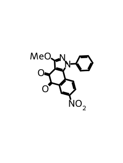 COc1nn(-c2ccccc2)c2c1C(=O)C(=O)c1cc([N+](=O)[O-])ccc1-2